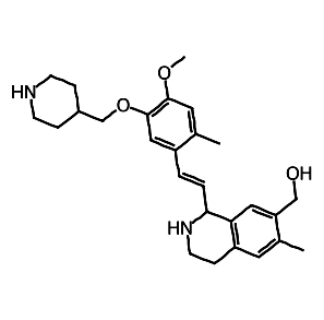 COc1cc(C)c(/C=C/C2NCCc3cc(C)c(CO)cc32)cc1OCC1CCNCC1